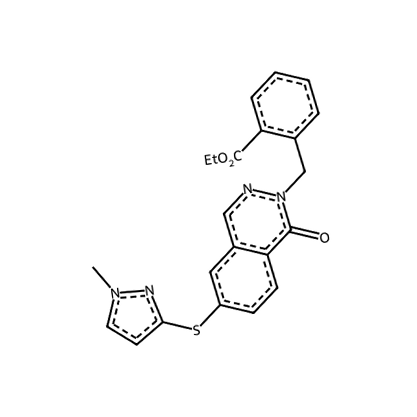 CCOC(=O)c1ccccc1Cn1ncc2cc(Sc3ccn(C)n3)ccc2c1=O